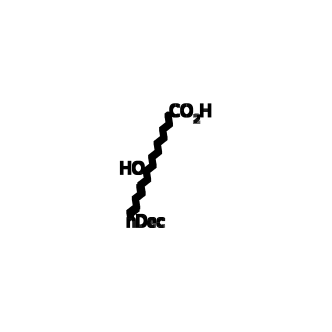 CCCCCCCCCCC=CCC=CCC(O)CCCCCCCCC(=O)O